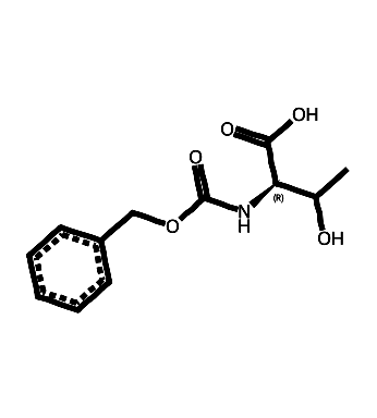 CC(O)[C@@H](NC(=O)OCc1ccccc1)C(=O)O